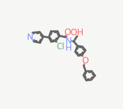 O=C(NC(CO)c1ccc(OCc2ccccc2)cc1)c1ccc(-c2ccncc2)cc1Cl